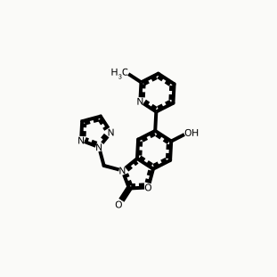 Cc1cccc(-c2cc3c(cc2O)oc(=O)n3Cn2nccn2)n1